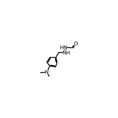 CN(C)c1ccc(CNN[C]=O)cc1